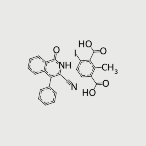 Cc1c(C(=O)O)ccc(I)c1C(=O)O.N#Cc1[nH]c(=O)c2ccccc2c1-c1ccccc1